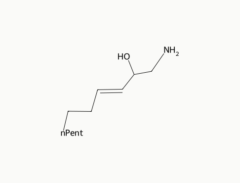 CCCCCCCC=CC(O)CN